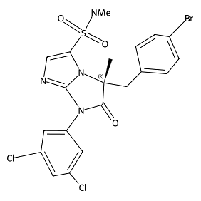 CNS(=O)(=O)c1cnc2n1[C@](C)(Cc1ccc(Br)cc1)C(=O)N2c1cc(Cl)cc(Cl)c1